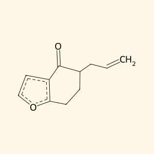 C=CCC1CCc2occc2C1=O